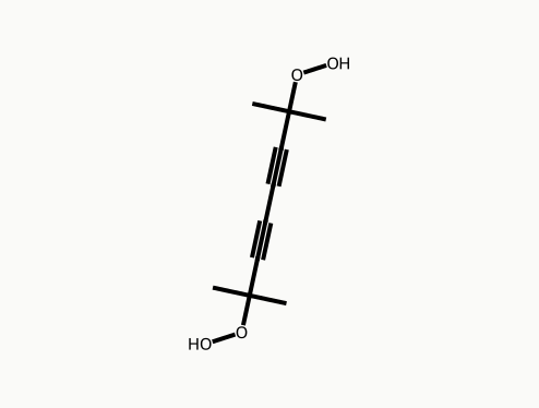 CC(C)(C#CC#CC(C)(C)OO)OO